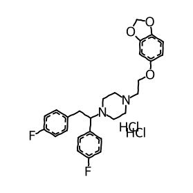 Cl.Cl.Fc1ccc(CC(c2ccc(F)cc2)N2CCN(CCOc3ccc4c(c3)OCO4)CC2)cc1